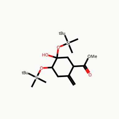 C=C1CC(O[Si](C)(C)C(C)(C)C)C(O)(O[Si](C)(C)C(C)(C)C)CC1C(=O)OC